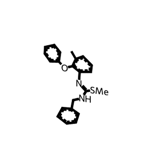 CS/C(=N\c1cccc(C)c1Oc1ccccc1)NCc1ccccc1